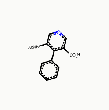 CC(=O)Nc1cncc(C(=O)O)c1-c1ccccc1